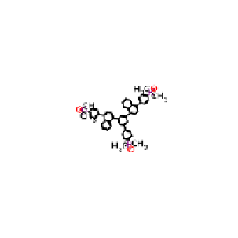 CP(C)(=O)c1ccc(-c2cc(-c3ccc(-c4ccc(P(C)(C)=O)cc4)c4ccccc34)cc(-c3ccc(-c4ccc(P(C)(C)=O)cc4)c4ccccc34)c2)cc1